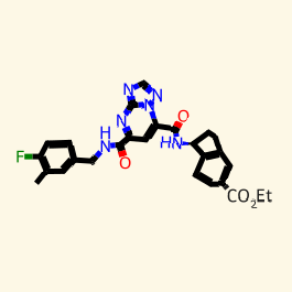 CCOC(=O)c1ccc2c(c1)CC[C@@H]2NC(=O)c1cc(C(=O)NCc2ccc(F)c(C)c2)nc2ncnn12